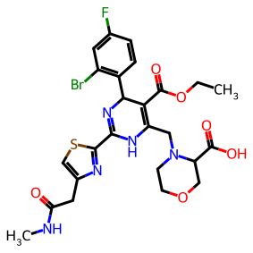 CCOC(=O)C1=C(CN2CCOCC2C(=O)O)NC(c2nc(CC(=O)NC)cs2)=NC1c1ccc(F)cc1Br